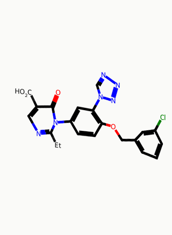 CCc1ncc(C(=O)O)c(=O)n1-c1ccc(OCc2cccc(Cl)c2)c(-n2cnnn2)c1